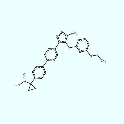 CCOc1cccc(Nc2c(C)noc2-c2ccc(-c3ccc(C4(C(=O)O)CC4)cc3)cc2)n1